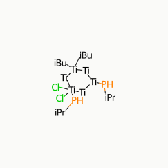 CC[CH](C)[Ti]1([CH](C)CC)[Ti][Ti]([PH]C(C)C)[Ti][Ti]([Cl])([Cl])([PH]C(C)C)[Ti]1